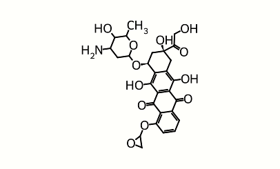 CC1OC(O[C@H]2C[C@](O)(C(=O)CO)Cc3c(O)c4c(c(O)c32)C(=O)c2c(OC3CO3)cccc2C4=O)CC(N)C1O